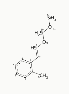 Cc1ccccc1C=[SiH]O[SiH2]O[SiH3]